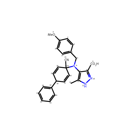 COc1ccc(CN(c2c(C(=O)O)n[nH]c2C)C2(C#N)C=CC(c3ccccc3)C=C2)cc1